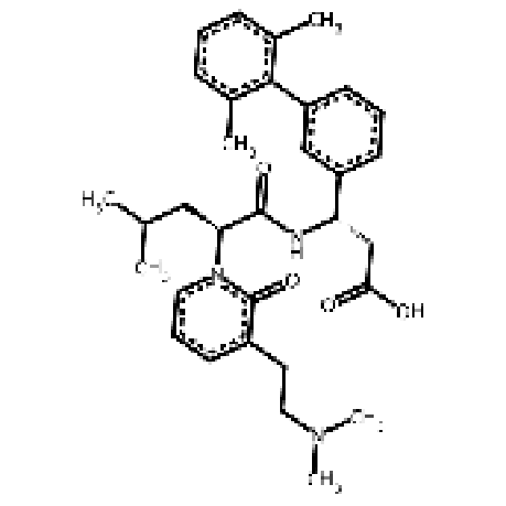 Cc1cccc(C)c1-c1cccc([C@H](CC(=O)O)NC(=O)[C@H](CC(C)C)n2cccc(CCN(C)C)c2=O)c1